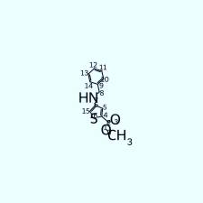 COC(=O)c1cc(NCc2ccccc2)cs1